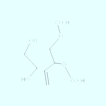 C=CC(COC(=O)O)OC(=O)O.OCCO